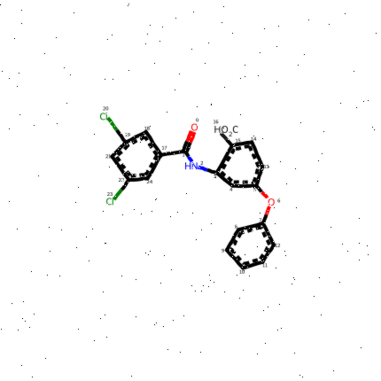 O=C(Nc1cc(Oc2ccccc2)ccc1C(=O)O)c1cc(Cl)cc(Cl)c1